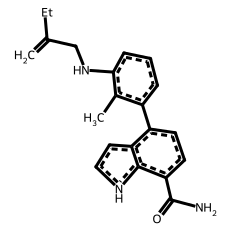 C=C(CC)CNc1cccc(-c2ccc(C(N)=O)c3[nH]ccc23)c1C